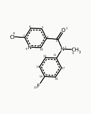 CN(C(=O)c1ccc(Cl)nc1)c1ccc(F)cc1